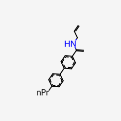 C=CCNC(=C)c1ccc(-c2ccc(CCC)cc2)cc1